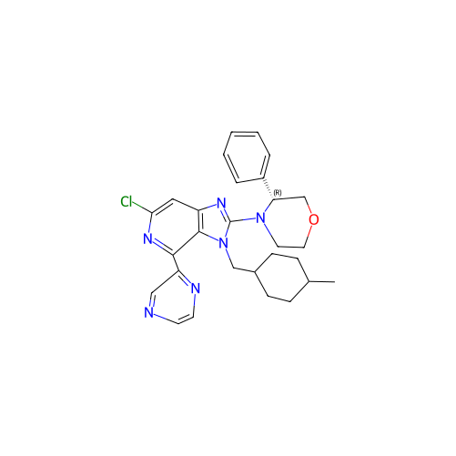 CC1CCC(Cn2c(N3CCOC[C@H]3c3ccccc3)nc3cc(Cl)nc(-c4cnccn4)c32)CC1